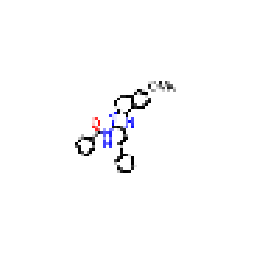 COc1ccc2c(c1)CCc1nc(NC(=O)c3ccccc3)c(/C=C/c3ccccc3)nc1-2